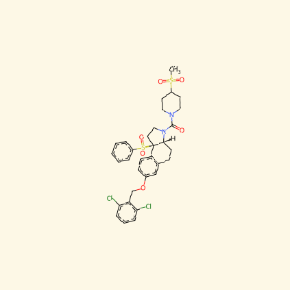 CS(=O)(=O)C1CCN(C(=O)N2CC[C@@]3(S(=O)(=O)c4ccccc4)c4ccc(OCc5c(Cl)cccc5Cl)cc4CC[C@@H]23)CC1